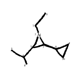 CCN1C(C(C)C)C1C1CC1